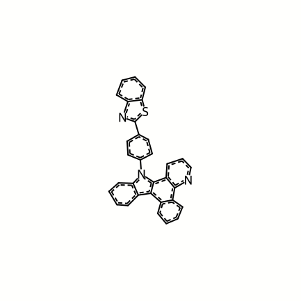 c1ccc2sc(-c3ccc(-n4c5ccccc5c5c6ccccc6c6ncccc6c54)cc3)nc2c1